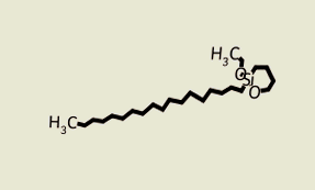 CCCCCCCCCCCCCCCCCC[Si]1(OCC)CCCCO1